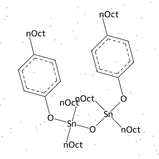 CCCCCCCCc1ccc([O][Sn]([CH2]CCCCCCC)([CH2]CCCCCCC)[O][Sn]([CH2]CCCCCCC)([CH2]CCCCCCC)[O]c2ccc(CCCCCCCC)cc2)cc1